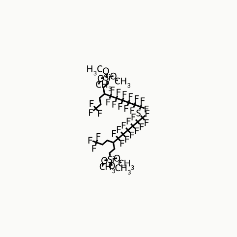 CO[Si](CCC(CCC(F)(F)F)C(F)(F)C(F)(F)C(F)(F)C(F)(F)C(F)(F)C(F)(F)SC(F)(F)C(F)(F)C(F)(F)C(F)(F)C(F)(F)C(F)(F)C(CCC(F)(F)F)CC[Si](OC)(OC)OC)(OC)OC